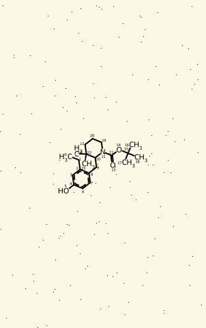 CCc1cc(O)ccc1CC1N(C(=O)OC(C)(C)C)CCCC1(C)C